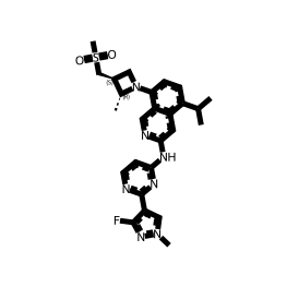 CC(C)c1ccc(N2C[C@H](CS(C)(=O)=O)[C@H]2C)c2cnc(Nc3ccnc(-c4cn(C)nc4F)n3)cc12